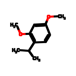 COc1ccc(C(C)C)c(OC)c1